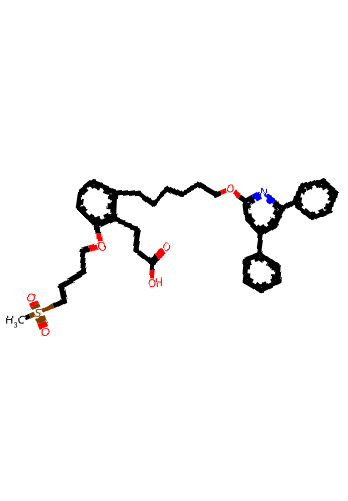 CS(=O)(=O)CCCCOc1cccc(CCCCCCOc2cc(-c3ccccc3)cc(-c3ccccc3)n2)c1CCC(=O)O